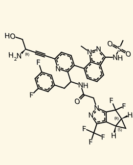 Cn1nc(NS(C)(=O)=O)c2cccc(-c3ccc(C#C[C@@H](N)CO)nc3C(Cc3cc(F)cc(F)c3)NC(=O)Cn3nc(C(F)(F)F)c4c3C(F)(F)[C@@H]3C[C@H]43)c21